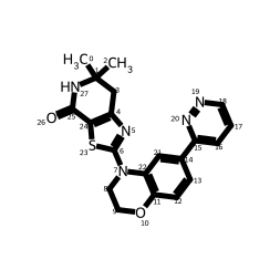 CC1(C)Cc2nc(N3CCOc4ccc(-c5cccnn5)cc43)sc2C(=O)N1